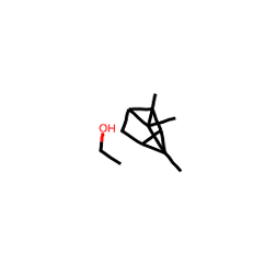 CC1(C)C2CC3C(C2)C31C.CCO